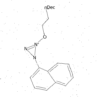 CCCCCCCCCCCCO[N+]1=NN1c1cccc2ccccc12